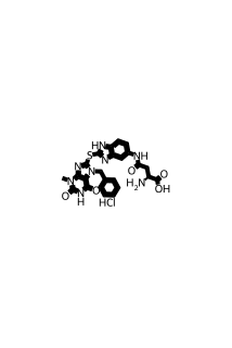 Cl.Cn1c(=O)[nH]c(=O)c2c1nc(Sc1nc3cc(NC(=O)C[C@H](N)C(=O)O)ccc3[nH]1)n2Cc1ccccc1